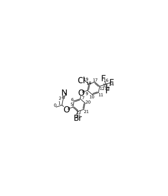 CC(C#N)Oc1cc(Oc2ccc(C(F)(F)F)cc2Cl)ccc1Br